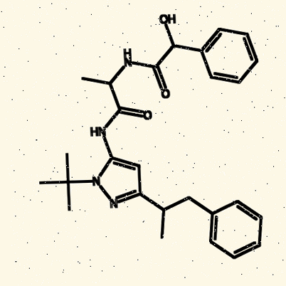 CC(NC(=O)C(O)c1ccccc1)C(=O)Nc1cc(C(C)Cc2ccccc2)nn1C(C)(C)C